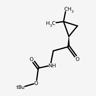 CC(C)(C)OC(=O)NCC(=O)[C@@H]1CC1(C)C